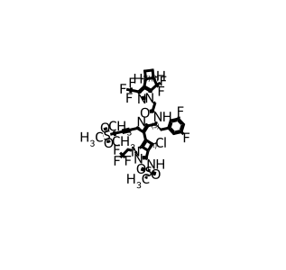 CC(C)(C#CC1=NC([C@H](Cc2cc(F)cc(F)c2)NC(=O)Cn2nc(C(F)(F)F)c3c2C(F)(F)[C@@H]2CC[C@H]32)=C1C1=C2C(C(NS(C)(=O)=O)=NN2CC(F)(F)F)[C@H]1Cl)S(C)(=O)=O